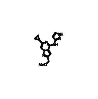 COCc1cc2c(Nc3cc[nH]n3)nc(C3CC3)cn2n1